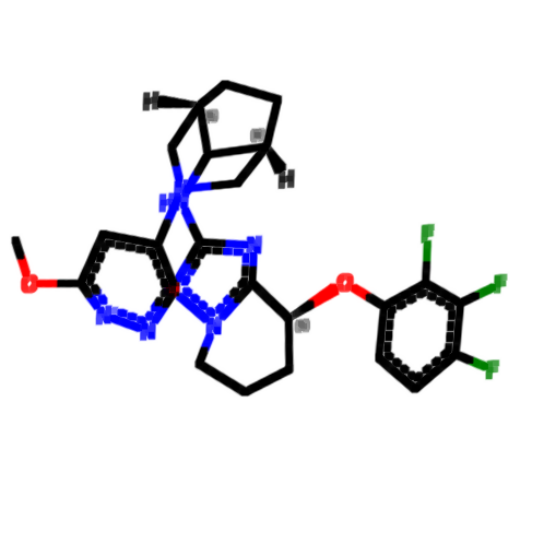 COc1cc(N2C[C@H]3CC[C@@H](C2)C3Nc2nc3n(n2)CCC[C@@H]3Oc2ccc(F)c(F)c2F)cnn1